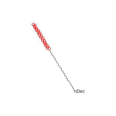 CCCCCCCCCCCCCCCCCCCCCCCCCCCCCCCCCCCCCCCCCCCOOOOOOOOOOOOOOOOOOO[O]